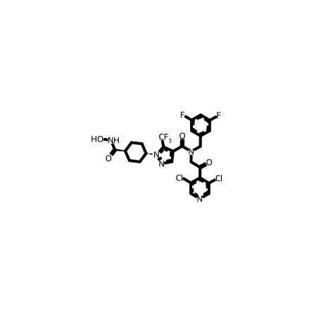 O=C(CN(Cc1cc(F)cc(F)c1)C(=O)c1cnn([C@H]2CC[C@H](C(=O)NO)CC2)c1C(F)(F)F)c1c(Cl)cncc1Cl